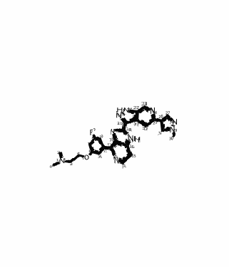 CN(C)CCOc1cc(F)cc(-c2nccc3[nH]c(-c4n[nH]c5cnc(-c6cnn(C)c6)cc45)nc23)c1